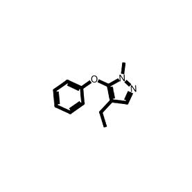 CCc1cnn(C)c1Oc1ccccc1